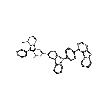 CC1CC=Cc2c3c(n(-c4ccccc4)c21)C(C)CC(c1ccc2c(c1)c1ccccc1n2-c1ccc(-c2ncnc4sc5ccccc5c24)cc1)=C3